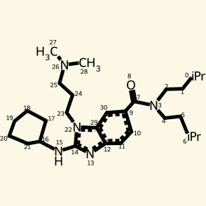 CC(C)CCN(CCC(C)C)C(=O)c1ccc2nc(NC3CCCCC3)n(CCCN(C)C)c2c1